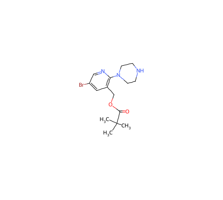 CC(C)(C)C(=O)OCc1cc(Br)cnc1N1CCNCC1